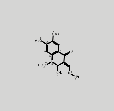 CCCNC=C1C(=O)c2cc(OC)c(OC)cc2N(C(=O)O)C1C